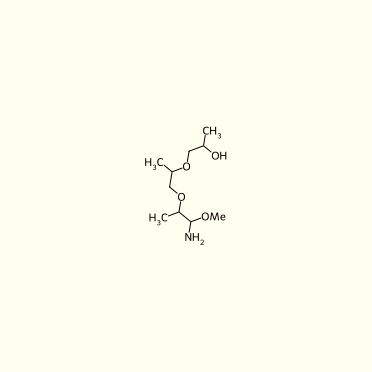 COC(N)C(C)OCC(C)OCC(C)O